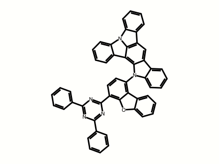 c1ccc(-c2nc(-c3ccccc3)nc(-c3ccc(-n4c5ccccc5c5cc6c7ccccc7n7c8ccccc8c(c54)c67)c4c3oc3ccccc34)n2)cc1